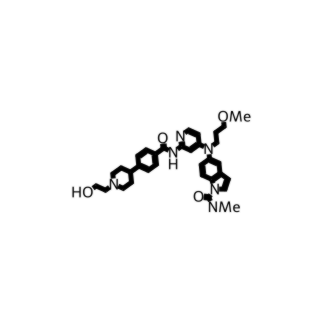 CNC(=O)n1ccc2cc(N(CCCOC)c3ccnc(NC(=O)c4ccc(C5CCN(CCO)CC5)cc4)c3)ccc21